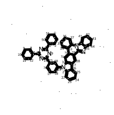 c1ccc(-c2nc(-c3ccccc3)nc(-c3cccc(-n4c5ccccc5c5cc6c(cc54)c4ccccc4n4c5ccccc5nc64)c3)n2)cc1